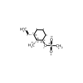 C=C[C@@H]1CCC[C@@H](OS(C)(=O)=O)[C@@H]1C